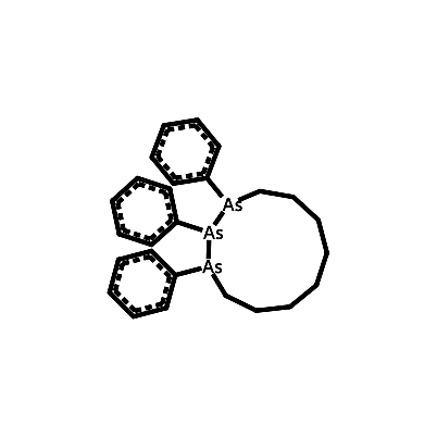 c1ccc([As]2CCCCCCCC[As](c3ccccc3)[As]2c2ccccc2)cc1